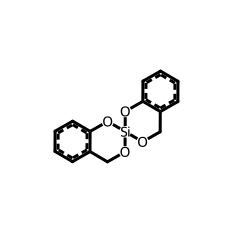 c1ccc2c(c1)CO[Si]1(OCc3ccccc3O1)O2